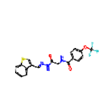 O=C(CNC(=O)c1ccc(OC(F)(F)F)cc1)N/N=C/c1csc2ccccc12